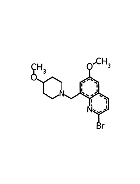 COc1cc(CN2CCC(OC)CC2)c2nc(Br)ccc2c1